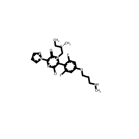 CC[C@H](C)Cn1c(-c2c(F)cc(OCCCNC)cc2F)c(Cl)nc(-n2cccn2)c1=O